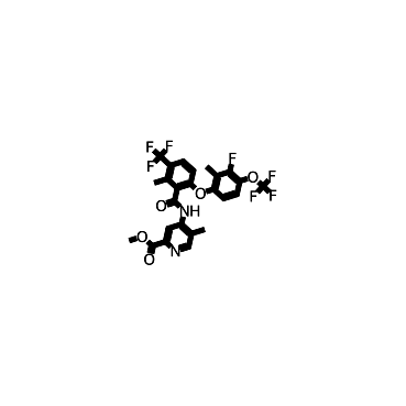 COC(=O)c1cc(NC(=O)c2c(Oc3ccc(OC(F)(F)F)c(F)c3C)ccc(C(F)(F)F)c2C)c(C)cn1